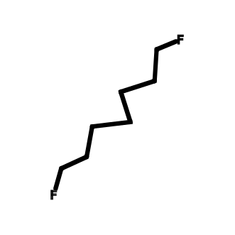 FCCCCCCCF